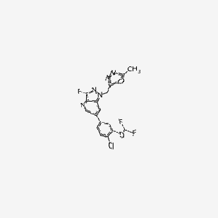 Cc1nnc(Cn2nc(F)c3ncc(-c4ccc(Cl)c(OC(F)F)c4)cc32)o1